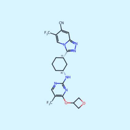 N#Cc1cc2nnc([C@H]3CCC[C@@H](Nc4ncc(C(F)(F)F)c(OC5COC5)n4)C3)n2cc1C(F)(F)F